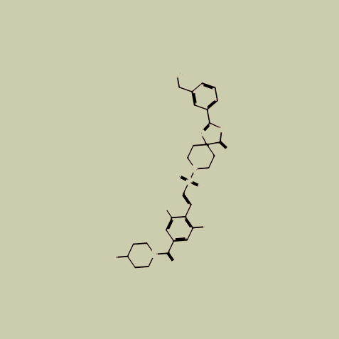 Cc1cc(C(=O)N2CCC(O)CC2)cc(C)c1C=CS(=O)(=O)N1CCC2(CC1)N=C(c1cccc(CC#N)c1)NC2=O